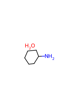 NC1CCCCC1.O